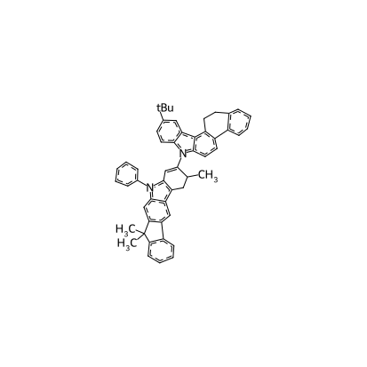 CC1Cc2c(n(-c3ccccc3)c3cc4c(cc23)-c2ccccc2C4(C)C)C=C1n1c2ccc(C(C)(C)C)cc2c2c3c(ccc21)-c1ccccc1CC3